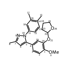 COc1ccc(-c2cc(C)nn2-c2ccc(C)c(C)c2)cc1OC1CCCO1